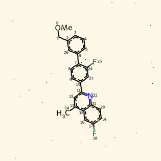 COCc1cccc(-c2ccc(-c3cc(C)c4cc(F)ccc4n3)cc2F)c1